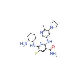 Cc1ncc(Nc2nc(NC3CCCCC3N)c(F)cc2C(N)=O)cc1N1CCCC1